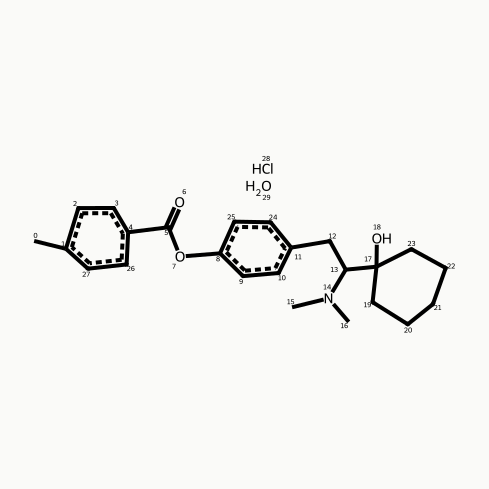 Cc1ccc(C(=O)Oc2ccc(CC(N(C)C)C3(O)CCCCC3)cc2)cc1.Cl.O